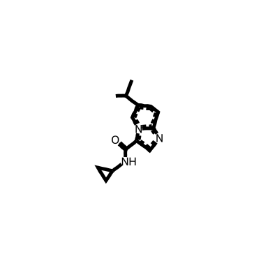 CC(C)c1ccc2ncc(C(=O)NC3CC3)n2c1